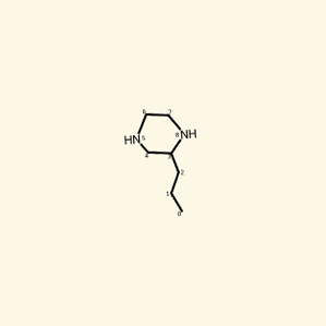 C[CH]CC1CNCCN1